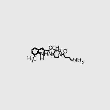 Cc1cccc2cc(C(=O)N[C@@H]3CCN(C(=O)CCCN)C[C@H]3C)[nH]c12